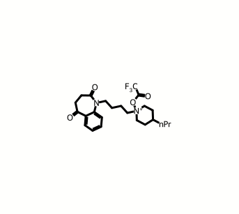 CCCC1CC[N+](CCCCN2C(=O)CCC(=O)c3ccccc32)(OC(=O)C(F)(F)F)CC1